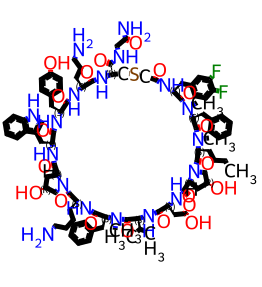 CCCC[C@H]1C(=O)N2C[C@H](O)C[C@@H]2C(=O)N[C@@H](CC(=O)O)C(=O)N[C@@H](C(C)C)C(=O)N(C)[C@@H](Cc2ccccc2)C(=O)N[C@@H](CCCCN)C(=O)N2C[C@H](O)C[C@@H]2C(=O)N[C@@H](Cc2c[nH]c3ccccc23)C(=O)N[C@@H](Cc2ccc(O)cc2)C(=O)N[C@@H](CCCN)C(=O)N[C@H](C(=O)NCC(N)=O)CSCC(=O)N[C@@H](Cc2ccc(F)c(F)c2)C(=O)N(C)[C@@H](Cc2ccccc2)C(=O)N1C